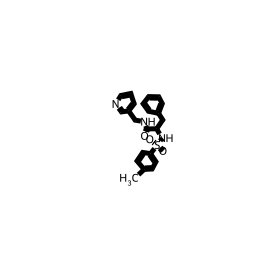 Cc1ccc(S(=O)(=O)NC(Cc2ccccc2)C(=O)NCc2cccnc2)cc1